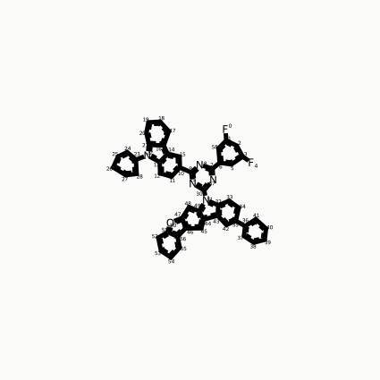 Fc1cc(F)cc(-c2nc(-c3ccc4c(c3)c3ccccc3n4-c3ccccc3)nc(-n3c4ccc(-c5ccccc5)cc4c4cc5c(cc43)oc3ccccc35)n2)c1